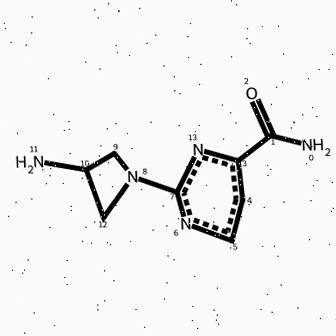 NC(=O)c1ccnc(N2CC(N)C2)n1